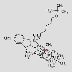 Cc1cc(C(C)(C)C)ccc1C1=C2c3ccccc3[CH]1[Zr+2][CH]1C(c3ccc(C(C)(C)C)cc3C)=C(c3ccccc31)[Si]2(C)CCCCCCOC(C)(C)C.[Cl-].[Cl-]